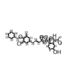 CC(=O)Nc1cc(O)ccc1[As](=O)(O)OC(=O)C=CCc1cc(C)c(OCc2ccccc2)c(Cl)c1